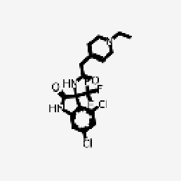 CCN1CC=C(CC(=O)NC2(C(F)(F)F)C(=O)Nc3cc(Cl)cc(Cl)c32)CC1